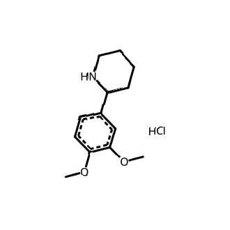 COc1ccc(C2CCCCN2)cc1OC.Cl